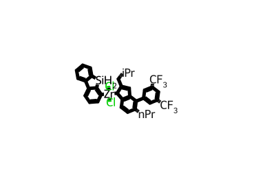 CCCc1ccc2c(c1-c1cc(C(F)(F)F)cc(C(F)(F)F)c1)C=C(CC(C)C)[CH]2[Zr]([Cl])([Cl])[c]1cccc2c1[SiH2]c1ccccc1-2